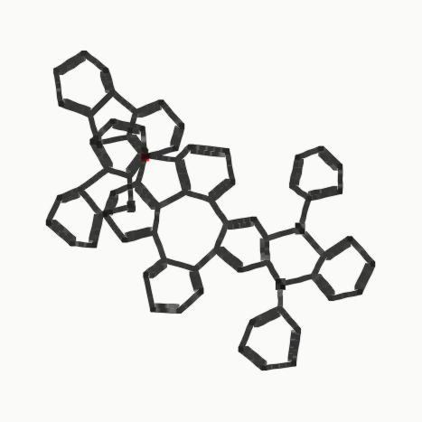 c1ccc(-n2c3ccccc3n(-c3ccccc3)c3cc4c(cc32)c2ccccc2c2cccc(-c3cccc5c3sc3ccccc35)c2c2c(-c3cccc5c3sc3ccccc35)cccc42)cc1